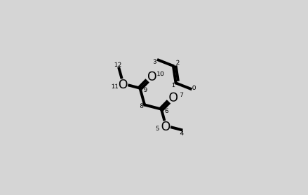 CC=CC.COC(=O)CC(=O)OC